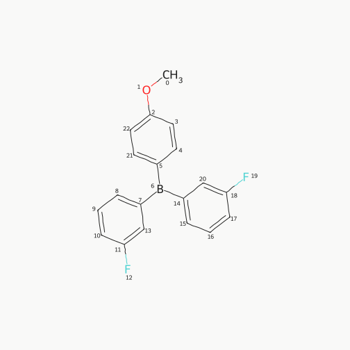 COc1ccc(B(c2cccc(F)c2)c2cccc(F)c2)cc1